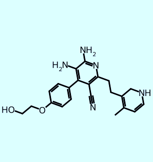 CC1=C(CCc2nc(N)c(N)c(-c3ccc(OCCO)cc3)c2C#N)CNC=C1